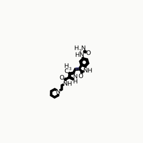 Cc1c(C(=O)NCCN2CCCCC2)c[nH]c1/C=C1\C(=O)Nc2ccc(NC(N)=O)cc21